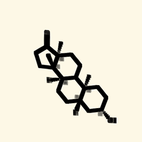 C[C@@]12CCC(=O)[C@@]1(C)CCC1[C@H]2CC[C@H]2C[C@@H](O)CC[C@]12C